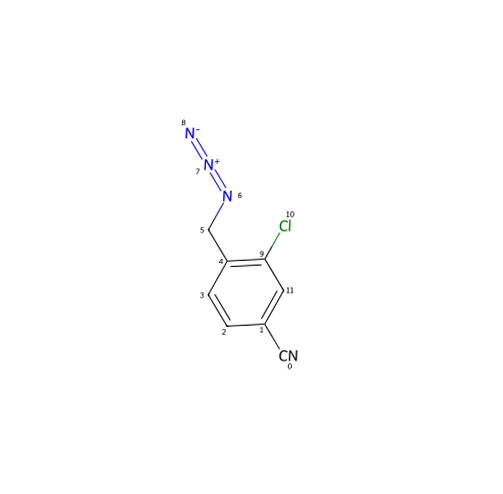 N#Cc1ccc(CN=[N+]=[N-])c(Cl)c1